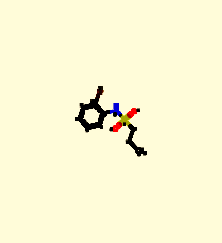 CCCS(=O)(=O)Nc1ccccc1Br